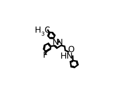 Cc1ccc(-n2nc(CCC(=O)NCc3ccccc3)cc2-c2cccc(F)c2)cc1